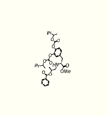 COC(=O)[C@H](Cc1ccc(OC(=O)OC(C)C(C)C)c(OC(=O)OC(C)C(C)C)c1)NCC(C)OC(=O)c1ccccc1